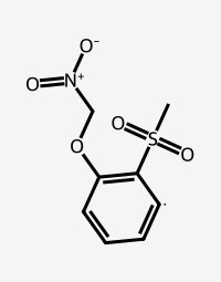 CS(=O)(=O)c1[c]cccc1OC[N+](=O)[O-]